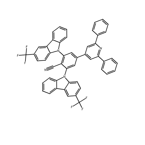 N#Cc1c(-n2c3ccccc3c3cc(C(F)(F)F)ccc32)cc(-c2cc(-c3ccccc3)nc(-c3ccccc3)c2)cc1-n1c2ccccc2c2cc(C(F)(F)F)ccc21